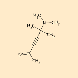 CC(=O)C#CC(C)(C)N(C)C